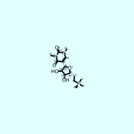 C=P(C)(C)CC[C@H]1O[C@@H](c2cn(C)c(=O)n(C)c2=O)C(O)[C@@H]1O